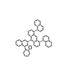 c1ccc2c(-c3cccc4c(-c5cc6ccccc6c6c5oc5ccccc56)c5cccc(-c6cccc7ccccc67)c5cc34)cccc2c1